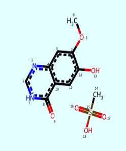 COc1cc2nc[nH]c(=O)c2cc1O.CS(=O)(=O)O